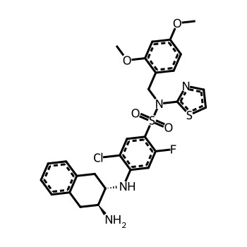 COc1ccc(CN(c2nccs2)S(=O)(=O)c2cc(Cl)c(N[C@H]3Cc4ccccc4C[C@@H]3N)cc2F)c(OC)c1